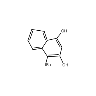 CC(C)(C)c1c(O)cc(O)c2ccccc12